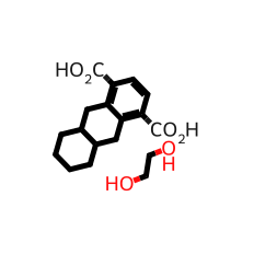 O=C(O)c1ccc(C(=O)O)c2c1CC1CCCCC1C2.OCCO